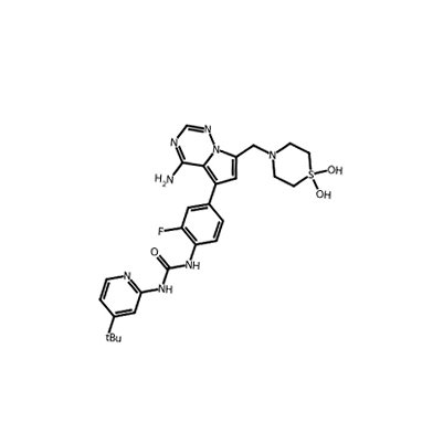 CC(C)(C)c1ccnc(NC(=O)Nc2ccc(-c3cc(CN4CCS(O)(O)CC4)n4ncnc(N)c34)cc2F)c1